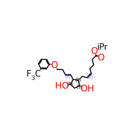 CC(C)OC(=O)CCC/C=C\C[C@@H]1C(/C=C/CCOc2cccc(C(F)(F)F)c2)[C@H](O)C[C@@H]1O